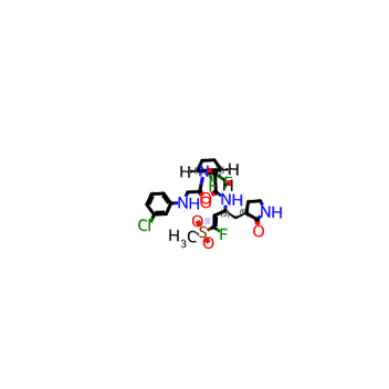 CS(=O)(=O)/C(F)=C/[C@H](C[C@H]1CCNC1=O)NC(=O)[C@@H]1[C@H]2CC[C@H](CC2(F)F)N1C(=O)CNc1cccc(Cl)c1